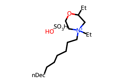 CCCCCCCCCCCCCCCC[N+]1(CC)CCOC(CC)C1.O=S(=O)(O)O